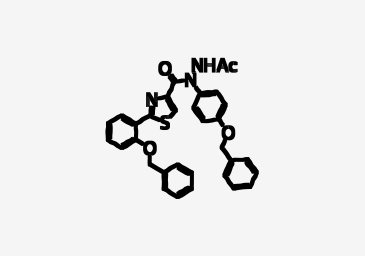 CC(=O)NN(C(=O)c1csc(-c2ccccc2OCc2ccccc2)n1)c1ccc(OCc2ccccc2)cc1